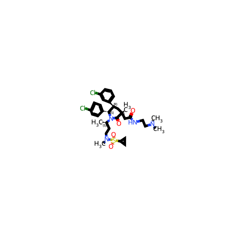 C[C@@H](CCN(C)S(=O)(=O)C1CC1)N1C(=O)[C@@](C)(CC(=O)NCCN(C)C)C[C@H](c2cccc(Cl)c2)[C@H]1c1ccc(Cl)cc1